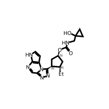 CC[C@@H]1C[C@H](OC(=O)NCC2(O)CC2)C[C@@H]1c1nnc2cnc3[nH]ccc3n12